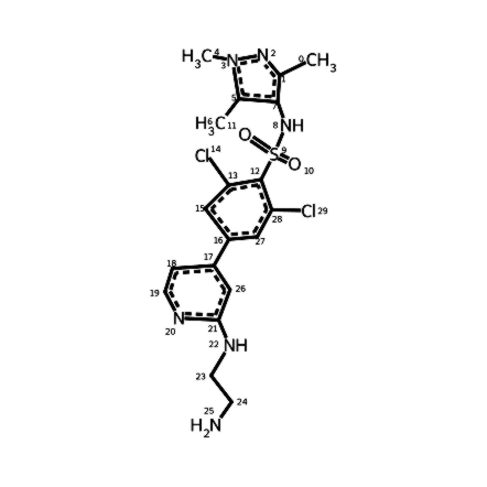 Cc1nn(C)c(C)c1NS(=O)(=O)c1c(Cl)cc(-c2ccnc(NCCN)c2)cc1Cl